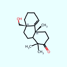 CC1(C)C(=O)CC[C@@]2(C)C3=CCCC[C@@]3(CO)CCC12